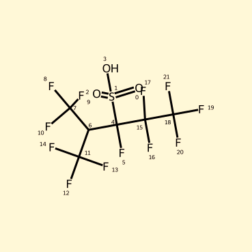 O=S(=O)(O)C(F)(C(C(F)(F)F)C(F)(F)F)C(F)(F)C(F)(F)F